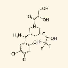 NC(c1cc(Cl)c(Cl)cc1O)[C@@H]1CCCN(C(=O)C(O)CO)C1.O=C(O)C(F)(F)F